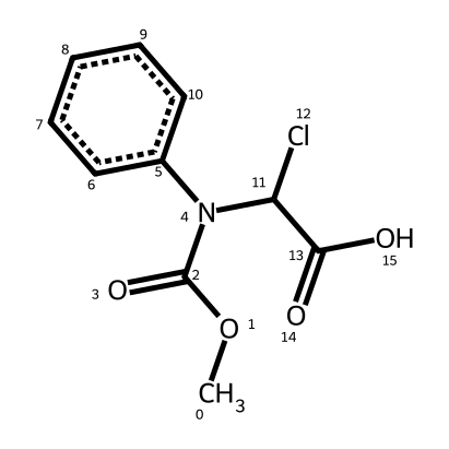 COC(=O)N(c1ccccc1)C(Cl)C(=O)O